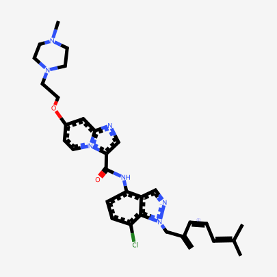 C=C(/C=C\C=C(C)C)Cn1ncc2c(NC(=O)c3cnc4cc(OCCN5CCN(C)CC5)ccn34)ccc(Cl)c21